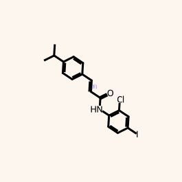 CC(C)c1ccc(/C=C/C(=O)Nc2ccc(I)cc2Cl)cc1